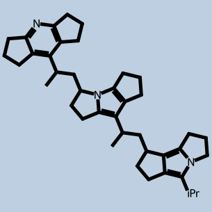 CC(C)c1c2c(c3n1CCC3)C(CC(C)c1c3c(n4c1CCC4CC(C)c1c4c(nc5c1CCC5)CCC4)CCC3)CC2